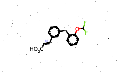 O=C(O)/C=C/c1cccc(Cc2ccccc2OC(F)F)c1